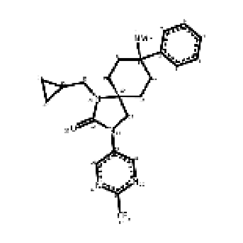 CN[C@]1(c2ccccc2)CC[C@@]2(CC1)CN(c1cnc(C(F)(F)F)nc1)C(=O)N2CC1CC1